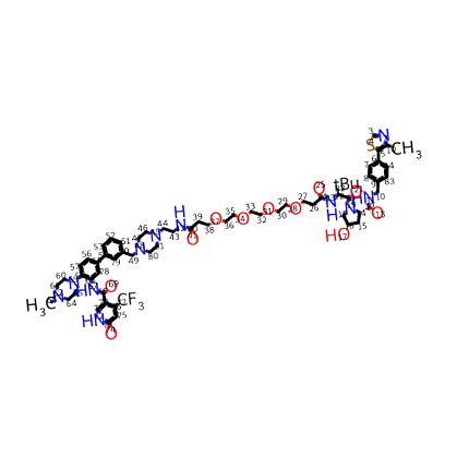 Cc1ncsc1-c1ccc(CNC(=O)[C@@H]2C[C@@H](O)CN2C(=O)[C@@H](NC(=O)CCOCCOCCOCCOCCC(=O)NCCN2CCN(Cc3cccc(-c4ccc(N5CCN(C)CC5)c(NC(=O)c5c[nH]c(=O)cc5C(F)(F)F)c4)c3)CC2)C(C)(C)C)cc1